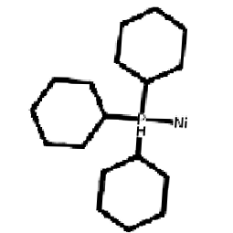 [Ni][PH](C1CCCCC1)(C1CCCCC1)C1CCCCC1